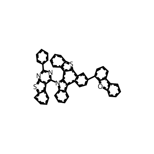 c1ccc(-c2nc(-n3c4ccccc4c4c5ccc(-c6cccc7c6oc6ccccc67)cc5c5sc6ccccc6c5c43)c3c(n2)sc2ccccc23)cc1